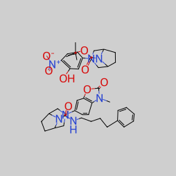 CC(C)(C)OC(=O)N1C2CCC1CN(c1ccc([N+](=O)[O-])c(O)c1)C2.Cn1c(=O)oc2cc(N3CC4CCC(C3)N4C(=O)NCCCCc3ccccc3)ccc21